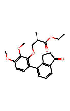 CCOC(=O)[C@@H](C)COc1c(-c2cccc3c2CCC3=O)ccc(OC)c1OC